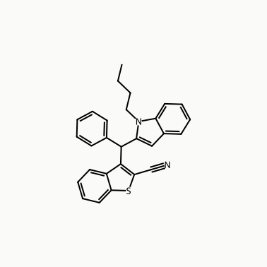 CCCCn1c(C(c2ccccc2)c2c(C#N)sc3ccccc23)cc2ccccc21